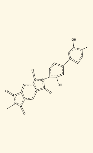 Cc1ccc(-c2ccc(-n3c(=O)c4cc5c(=O)n(C)c(=O)c5cc4c3=O)c(O)c2)cc1O